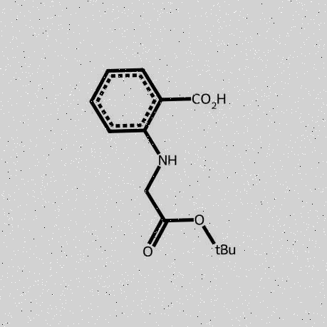 CC(C)(C)OC(=O)CNc1ccccc1C(=O)O